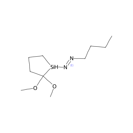 CCCC/N=N/[SiH]1CCCC1(OC)OC